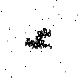 COC(=O)Cc1coc2ccc(-n3c(C(N)=O)cc4ccc(OC(F)(F)F)cc43)cc12